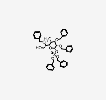 C[C@H]1[C@H](OCc2ccccc2)[C@H](OCc2ccccc2)[C@H](OP(=O)(OCc2ccccc2)OCc2ccccc2)O[C@@H]1[C@@H](CO)OCc1ccccc1